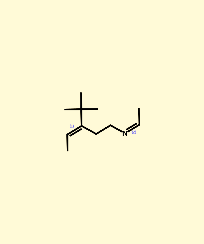 C/C=N\CC/C(=C\C)C(C)(C)C